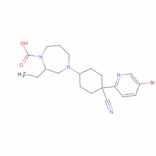 CCC1CN(C2CCC(C#N)(c3ccc(Br)cn3)CC2)CCCN1C(=O)O